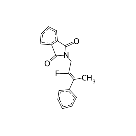 C/C(=C(/F)CN1C(=O)c2ccccc2C1=O)c1ccccc1